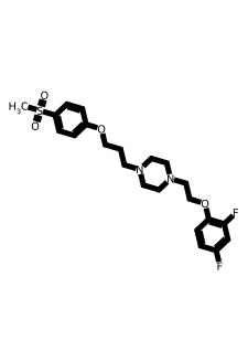 CS(=O)(=O)c1ccc(OCCCN2CCN(CCOc3ccc(F)cc3F)CC2)cc1